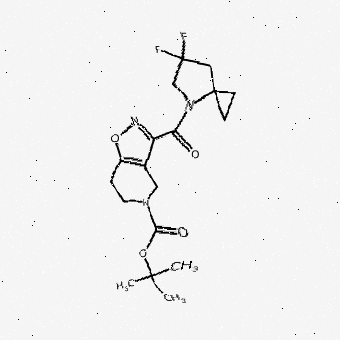 CC(C)(C)OC(=O)N1CCc2onc(C(=O)N3CC(F)(F)CC34CC4)c2C1